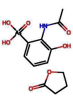 CC(=O)Nc1c(O)cccc1[As](=O)(O)O.O=C1CCCO1